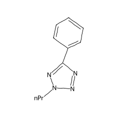 [CH2]CCn1nnc(-c2ccccc2)n1